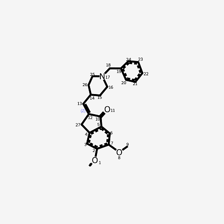 COc1cc2c(cc1OC)C(=O)/C(=C\C1CCN(Cc3ccccc3)CC1)C2